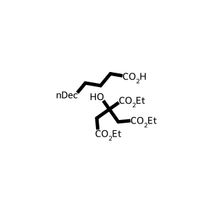 CCCCCCCCCCCCCC(=O)O.CCOC(=O)CC(O)(CC(=O)OCC)C(=O)OCC